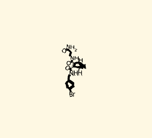 NC(=O)CCNC(=O)[C@H]1[C@H](C(=O)NCc2ccc(Br)cc2)[C@@H]2C=C[C@H]1C21CC1